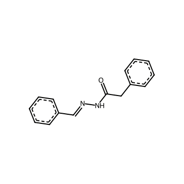 O=C(Cc1ccccc1)N/N=C/c1ccccc1